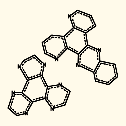 c1ccc2nc3c4ncccc4c4ncccc4c3nc2c1.c1cnc2c(n1)c1nccnc1c1nccnc21